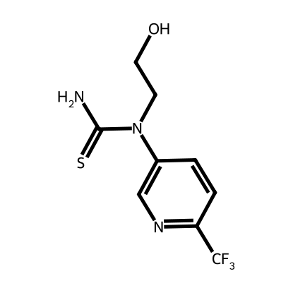 NC(=S)N(CCO)c1ccc(C(F)(F)F)nc1